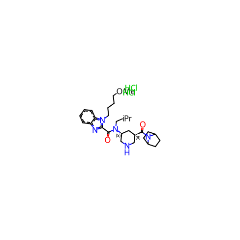 COCCCCn1c(C(=O)N(CC(C)C)[C@@H]2CNC[C@H](C(=O)N3C4CCC3CC4)C2)nc2ccccc21.Cl.Cl